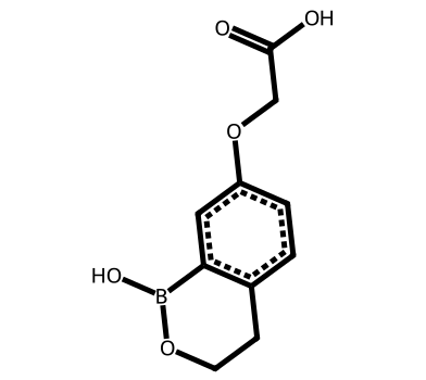 O=C(O)COc1ccc2c(c1)B(O)OCC2